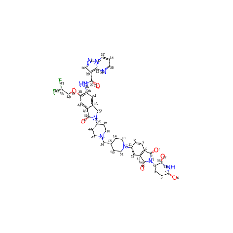 O=C1CCC(N2C(=O)c3ccc(N4CCC(CN5CCC(N6Cc7cc(NC(=O)c8cnn9cccnc89)c(OCC(F)F)cc7C6=O)CC5)CC4)cc3C2=O)C(=O)N1